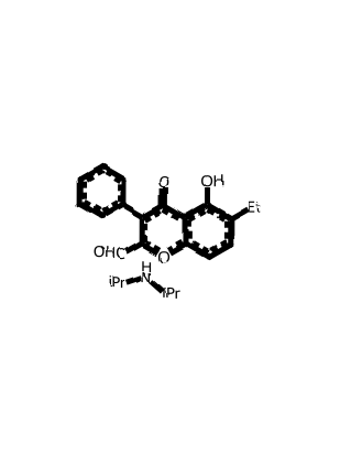 CC(C)NC(C)C.CCc1ccc2oc(C=O)c(-c3ccccc3)c(=O)c2c1O